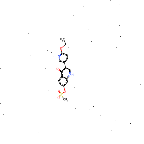 CS(=O)(=O)Oc1ccc2c(=O)c(-c3ccc(OCC(F)(F)F)nc3)c[nH]c2c1